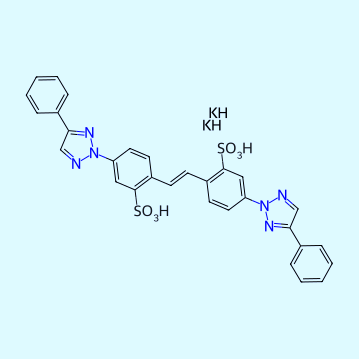 O=S(=O)(O)c1cc(-n2ncc(-c3ccccc3)n2)ccc1C=Cc1ccc(-n2ncc(-c3ccccc3)n2)cc1S(=O)(=O)O.[KH].[KH]